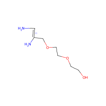 N/C=C(\N)COCCOCCO